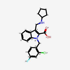 O=C(O)c1c(CNC2CCCC2)c2ccccc2n1Cc1ccc(F)cc1Cl